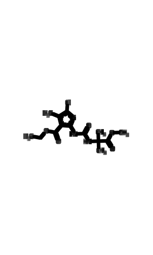 CCOC(=O)c1c(NC(=O)NC(C)(C)C(=O)OC)sc(Cl)c1C